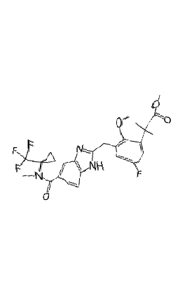 COC(=O)C(C)(C)c1cc(F)cc(Cc2nc3cc(C(=O)N(C)C4(C(F)(F)F)CC4)ccc3[nH]2)c1OC